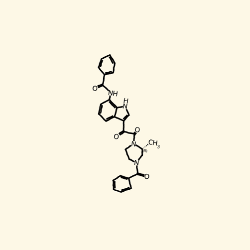 C[C@@H]1CN(C(=O)c2ccccc2)CCN1C(=O)C(=O)c1c[nH]c2c(NC(=O)c3ccccc3)cccc12